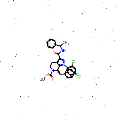 CC(NC(=O)c1nn(-c2ccc(Cl)cc2Cl)c2c1CCN(C(=O)OC(C)(C)C)/C2=C/c1ccc(F)cc1)c1ccccc1